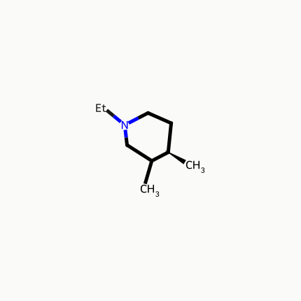 CCN1CC[C@@H](C)C(C)C1